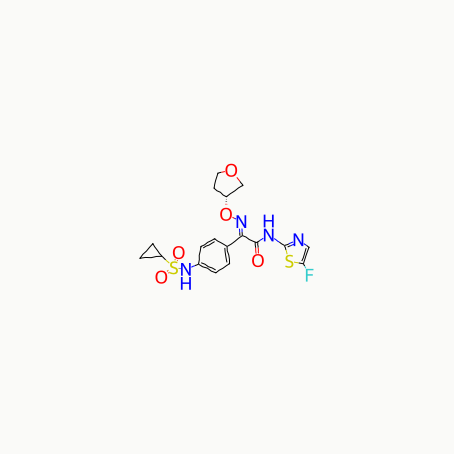 O=C(Nc1ncc(F)s1)/C(=N/O[C@@H]1CCOC1)c1ccc(NS(=O)(=O)C2CC2)cc1